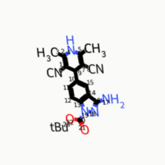 [C-]#[N+]C1=C(C)NC(C)=C(C#N)C1c1ccc2c(c1)c(N)nn2C(=O)OC(C)(C)C